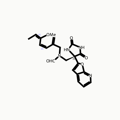 C=C(/C=C\C(=C/C)OC)CN(C=O)C[C@@]1(c2cc3cccnc3o2)NC(=O)NC1=O